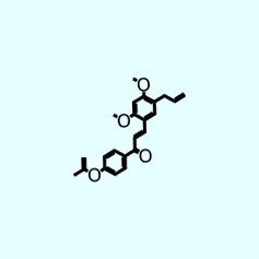 C=CCc1cc(/C=C/C(=O)c2ccc(OC(=C)C)cc2)c(OC)cc1OC